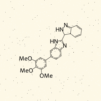 COc1cc(-c2ccc3nc(C4NN=C5C=CC=CC54)[nH]c3c2)cc(OC)c1OC